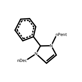 CCCCCCCCCCN1C=CN(CCCCC)C1c1ccccc1